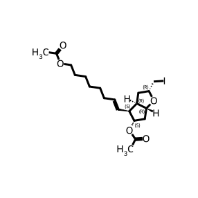 CC(=O)OCCCCCCC=C[C@H]1[C@H]2C[C@H](CI)O[C@@H]2C[C@@H]1OC(C)=O